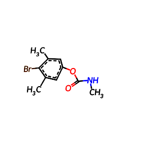 CNC(=O)Oc1cc(C)c(Br)c(C)c1